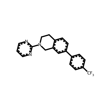 FC(F)(F)c1ccc(-c2ccc3c(c2)CN(c2ncccn2)CC3)cc1